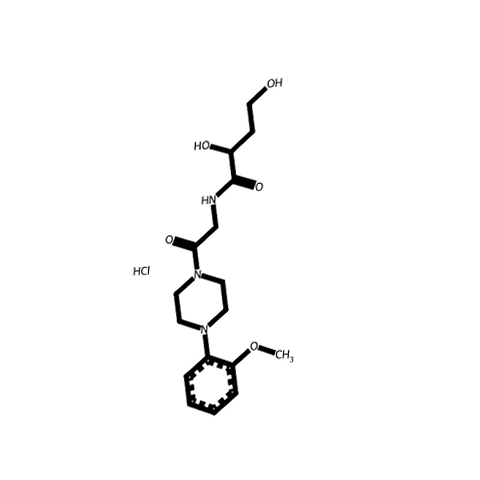 COc1ccccc1N1CCN(C(=O)CNC(=O)C(O)CCO)CC1.Cl